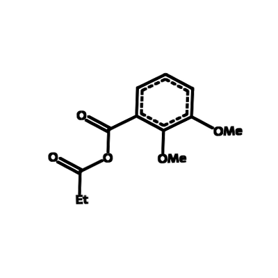 CCC(=O)OC(=O)c1cccc(OC)c1OC